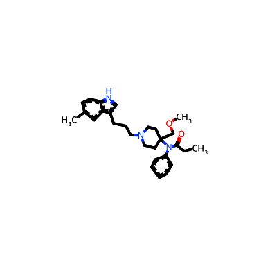 CCC(=O)N(c1ccccc1)C1(COC)CCN(CCCc2c[nH]c3ccc(C)cc23)CC1